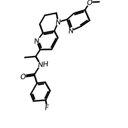 COc1ccnc(N2CCCc3nc(C(C)NC(=O)c4ccc(F)cc4)ccc32)c1